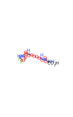 N[C@@H](CSC1CC(=O)N(CCC(=O)NCCOCCOCCOCCOCCC(=O)NCCS(=O)(=O)Cc2cc3nc(c2)OCCCOc2cc(F)ccc2-c2cc(ncc2F)N3)C1=O)C(=O)O